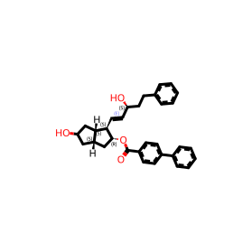 O=C(O[C@@H]1C[C@@H]2CC(O)C[C@@H]2[C@H]1/C=C/[C@@H](O)CCc1ccccc1)c1ccc(-c2ccccc2)cc1